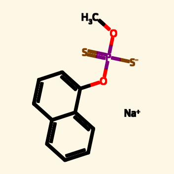 COP(=S)([S-])Oc1cccc2ccccc12.[Na+]